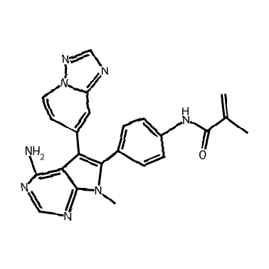 C=C(C)C(=O)Nc1ccc(-c2c(-c3ccn4ncnc4c3)c3c(N)ncnc3n2C)cc1